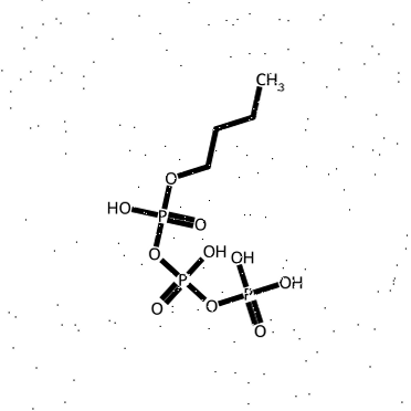 CCCCOP(=O)(O)OP(=O)(O)OP(=O)(O)O